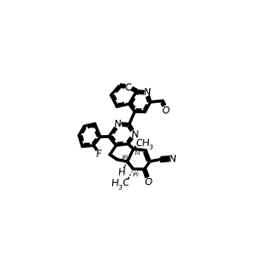 C[C@H]1C(=O)C(C#N)=C[C@@]2(C)c3nc(-c4cc(C=O)nc5ccccc45)nc(-c4ccccc4F)c3CC[C@H]12